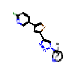 Fc1ccc(-c2csc(-c3cn([C@H]4CN5CCC4CC5)nn3)c2)cn1